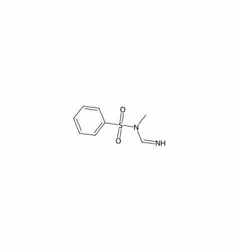 CN(C=N)S(=O)(=O)c1ccccc1